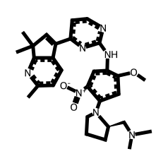 COc1cc(N2CCC[C@@H]2CN(C)C)c([N+](=O)[O-])cc1Nc1nccc(C2=CC(C)(C)c3nc(C)ccc32)n1